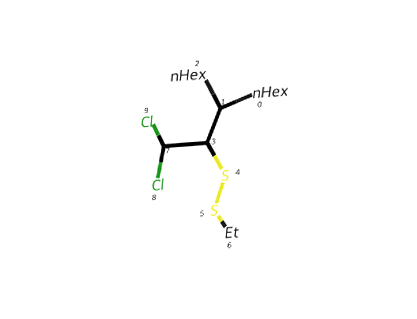 CCCCCCC(CCCCCC)C(SSCC)C(Cl)Cl